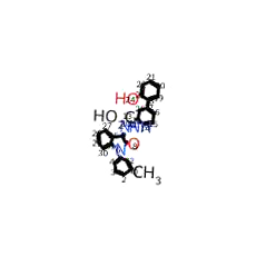 Cc1cccc(N2C(=O)C(=NNC3(C(=O)O)C=CC=C(c4ccccc4O)C3)c3ccccc32)c1